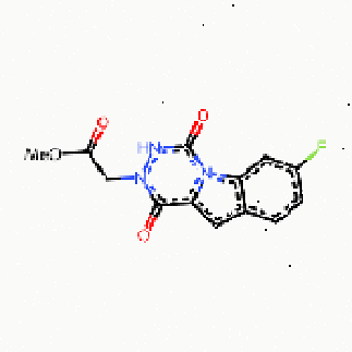 COC(=O)Cn1[nH]c(=O)n2c(cc3ccc(F)cc32)c1=O